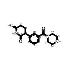 O=C1CCC(c2cccc(C(=O)N3CCNCC3)c2)C(=O)N1